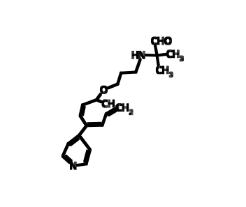 C=C/C=C(\C=C/C(C)OCCCNC(C)(C)C=O)c1ccncc1